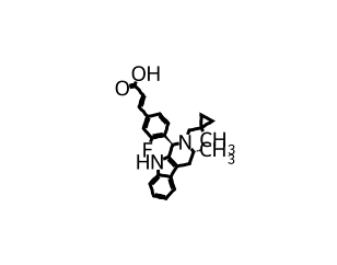 C[C@@H]1Cc2c([nH]c3ccccc23)[C@@H](c2ccc(C=CC(=O)O)cc2F)N1CC1(C)CC1